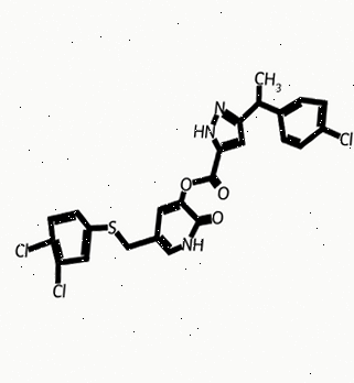 CC(c1ccc(Cl)cc1)c1cc(C(=O)Oc2cc(CSc3ccc(Cl)c(Cl)c3)c[nH]c2=O)[nH]n1